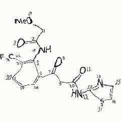 COCC(=O)Nc1c(C(=O)CC(=O)Nc2nccs2)cccc1C(F)(F)F